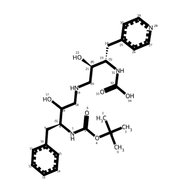 CC(C)(C)OC(=O)N[C@@H](Cc1ccccc1)C(O)CNC[C@@H](O)[C@H](Cc1ccncc1)NC(=O)O